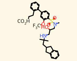 CN(CC(O)CNC(C)(C)CC1Cc2ccccc2C1)S(=O)(=O)c1ccc(-c2ccccc2CCC(=O)O)cc1OC(F)(F)F